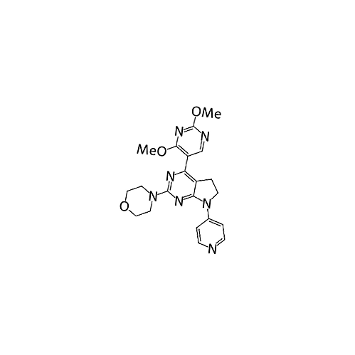 COc1ncc(-c2nc(N3CCOCC3)nc3c2CCN3c2ccncc2)c(OC)n1